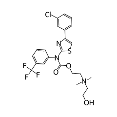 C[N+](C)(CCO)CCOC(=O)N(c1cccc(C(F)(F)F)c1)c1nc(-c2cccc(Cl)c2)cs1